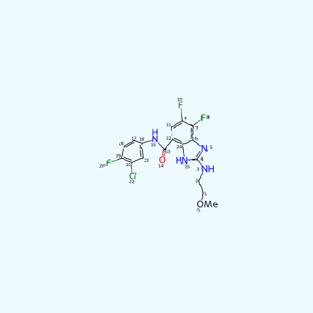 COCCNc1nc2c(F)c(F)cc(C(=O)Nc3ccc(F)c(Cl)c3)c2[nH]1